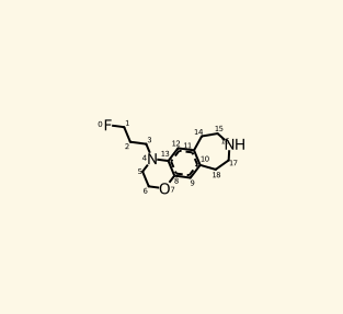 FCCCN1CCOc2cc3c(cc21)CCNCC3